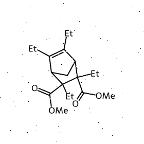 CCC1=C(CC)C2CC1C(CC)(C(=O)OC)C2(CC)C(=O)OC